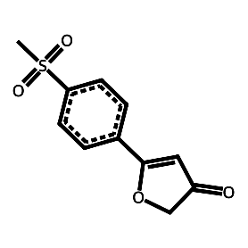 CS(=O)(=O)c1ccc(C2=CC(=O)CO2)cc1